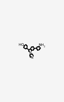 Nc1cccc(-c2ccc3c(-c4ccc(O)cc4)cn(-c4ccncc4)c3c2)c1